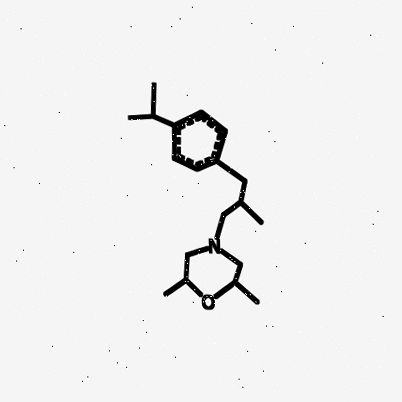 CC(Cc1ccc(C(C)C)cc1)CN1CC(C)OC(C)C1